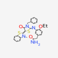 CCOc1ccc(CC(N)=O)cc1N=C1SC(=C2Sc3ccccc3N2C)C(=O)N1Cc1ccccc1